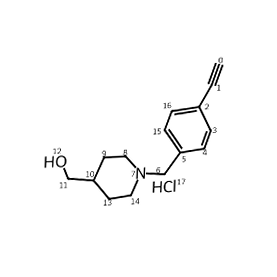 C#Cc1ccc(CN2CCC(CO)CC2)cc1.Cl